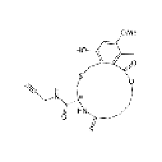 C#CCNC(=O)[C@@H]1CSCc2c(O)cc(OC)c(C)c2C(=O)OCCCCC(=S)N1